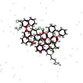 CCCCCc1cc(-c2ccccc2)c(Oc2c(-c3cccnc3Sc3ccc(Cl)cc3)c([O])c3c(-c4ccccc4C(F)(F)F)c(Oc4cccc(Cl)c4C)c(-c4cccnc4Oc4ccc(Cl)cc4)c(Cl)c3c2Oc2c(C)c(-c3c(F)c(F)c(F)c(F)c3F)c(Oc3ccccc3)c3ccccc23)c2ccccc12